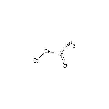 CCO[Si](N)=O